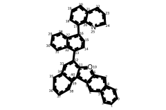 c1ccc2cc3c(cc2c1)oc1c(-c2ccc(-c4cccc5cccnc45)c4ccccc24)cc2ccccc2c13